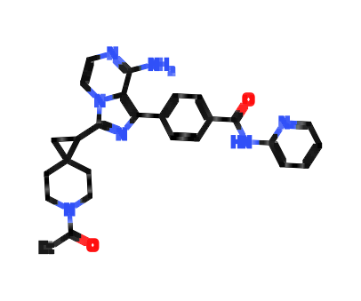 CCC(=O)N1CCC2(CC1)CC2c1nc(-c2ccc(C(=O)Nc3ccccn3)cc2)c2c(N)nccn12